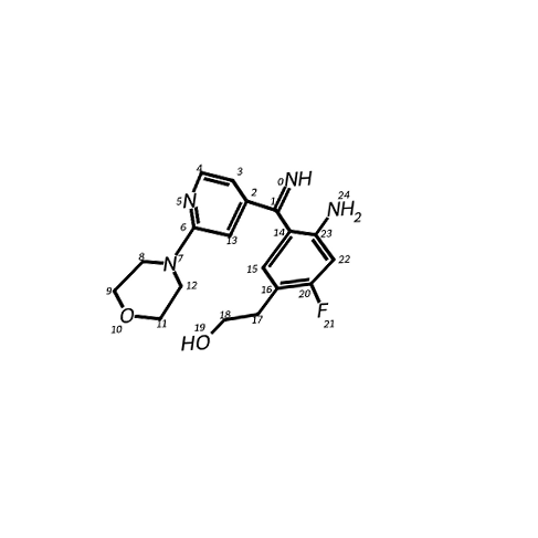 N=C(c1ccnc(N2CCOCC2)c1)c1cc(CCO)c(F)cc1N